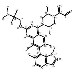 C=CC(=O)N1C[C@H](C)N(c2nc(OCC(C)(C)N(C)C)nc3c(F)c(-c4c(C)ccc5cnn(C)c45)c(C)cc23)C[C@H]1C